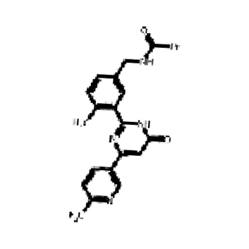 Cc1ccc(CNC(=O)C(C)C)cc1-c1nc(-c2ccc(C(F)(F)F)nc2)cc(=O)[nH]1